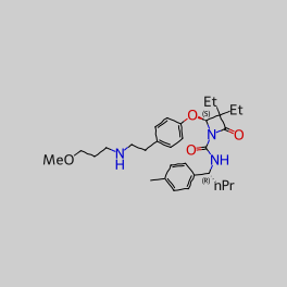 CCC[C@@H](NC(=O)N1C(=O)C(CC)(CC)[C@@H]1Oc1ccc(CCNCCCOC)cc1)c1ccc(C)cc1